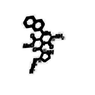 COC(=O)C(Cc1ccc2ccccc2c1)N(C(=O)[C@H]1NCC[C@H]1N=[N+]=[N-])C(=O)[C@@H](N)C(C)(C)C